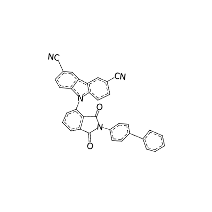 N#Cc1ccc2c(c1)c1cc(C#N)ccc1n2-c1cccc2c1C(=O)N(c1ccc(-c3ccccc3)cc1)C2=O